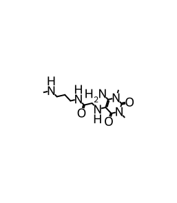 CNCCCNC(=O)CNc1c(N)n(C)c(=O)n(C)c1=O